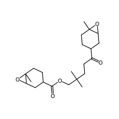 CC(C)(CCC(=O)C1CCC2(C)OC2C1)COC(=O)C1CCC2(C)OC2C1